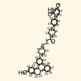 O=C(CCCN1CCN(c2ccc([C@@H]3c4ccc(O)cc4CC[C@@H]3c3ccccc3)cc2)CC1)N1CCN(c2ccc(-n3ccc(=O)[nH]c3=O)cc2)CC1